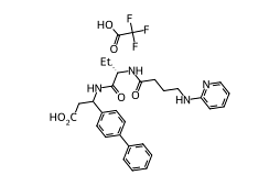 CC[C@H](NC(=O)CCCNc1ccccn1)C(=O)NC(CC(=O)O)c1ccc(-c2ccccc2)cc1.O=C(O)C(F)(F)F